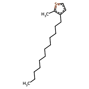 CCCCCCCCCCCCc1ccsc1C